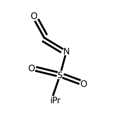 CC(C)S(=O)(=O)N=C=O